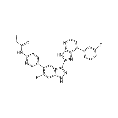 CCC(=O)Nc1ccc(-c2cc3c(-c4nc5c(-c6cccc(F)c6)ccnc5[nH]4)n[nH]c3cc2F)cn1